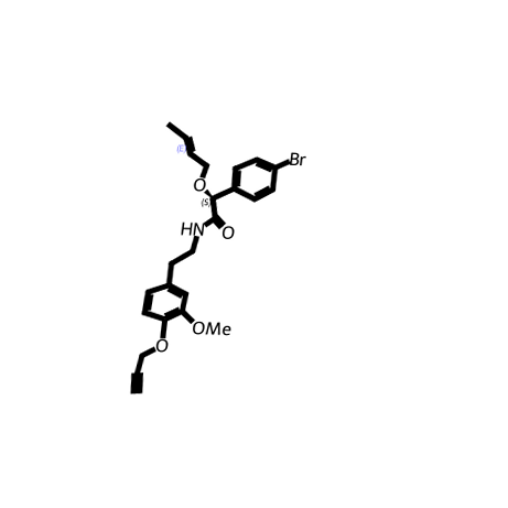 C#CCOc1ccc(CCNC(=O)[C@@H](OC/C=C/C)c2ccc(Br)cc2)cc1OC